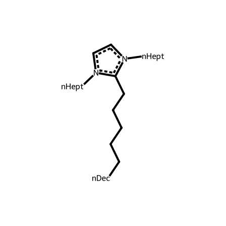 CCCCCCCCCCCCCCCc1n(CCCCCCC)cc[n+]1CCCCCCC